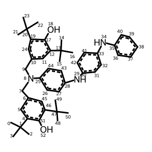 CC(C)(C)c1cc(CN(Cc2cc(C(C)(C)C)c(O)c(C(C)(C)C)c2)c2ccc(Nc3ccc(Nc4ccccc4)cc3)cc2)cc(C(C)(C)C)c1O